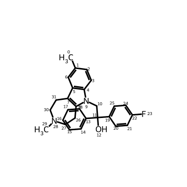 Cc1ccc2c(c1)c1c(n2CC(O)(c2ccccc2)c2ccc(F)cc2)CCN(C)CC1